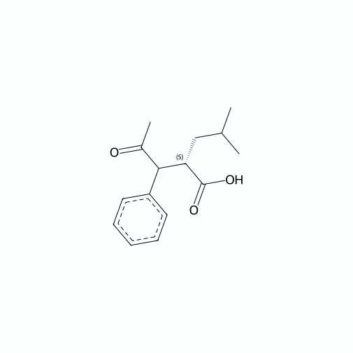 CC(=O)C(c1ccccc1)[C@H](CC(C)C)C(=O)O